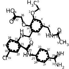 CCOc1cc(CNC(C)=O)cc(CNc2ccc(Cl)cc2C(=O)Nc2ccc(C(=N)N)cc2)c1OCC(=O)O